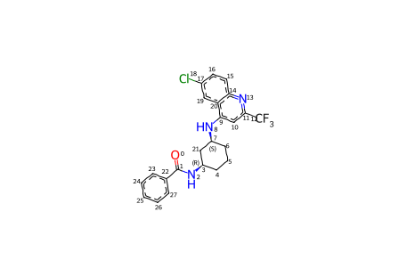 O=C(N[C@@H]1CCC[C@H](Nc2cc(C(F)(F)F)nc3ccc(Cl)cc23)C1)c1ccccc1